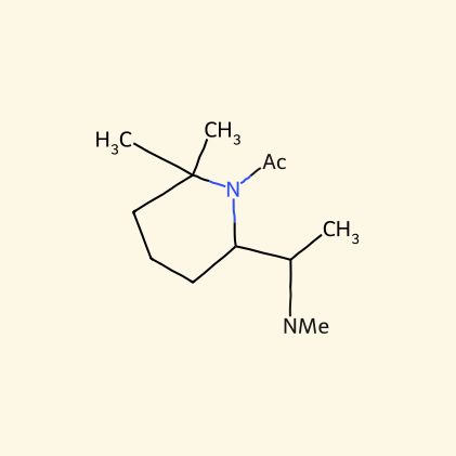 CNC(C)C1CCCC(C)(C)N1C(C)=O